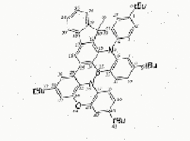 CC(C)(C)c1ccc(N2c3cc(C(C)(C)C)ccc3B3c4c(cc5c(c42)C(C)(C)c2ccccc2-5)-c2cc(C(C)(C)C)cc4c2N3c2ccc(C(C)(C)C)cc2O4)cc1